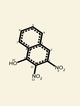 O=[N+]([O-])c1cc2ccccc2c(O)c1[N+](=O)[O-]